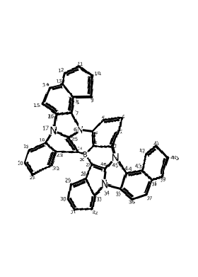 c1cc2c3c(c1)-n1c4c5ccccc5ccc4n4c5ccccc5c(c14)B3c1c3ccccc3n3c4ccc5ccccc5c4n-2c13